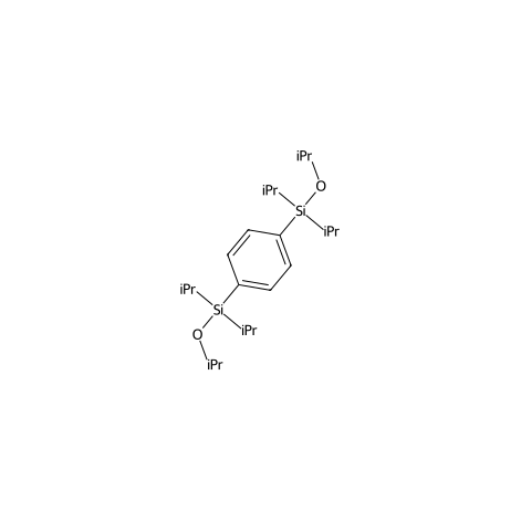 CC(C)O[Si](c1ccc([Si](OC(C)C)(C(C)C)C(C)C)cc1)(C(C)C)C(C)C